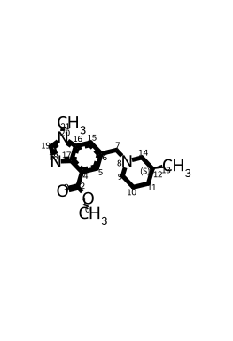 COC(=O)c1cc(CN2CCC[C@H](C)C2)cc2c1ncn2C